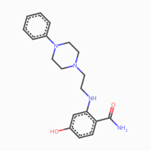 NC(=O)c1ccc(O)cc1NCCN1CCN(c2ccccc2)CC1